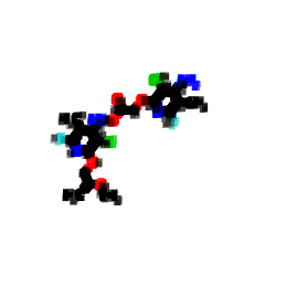 C=C(COc1nc(F)c(C)c(NOC(=O)COc2nc(F)c(C)c(N)c2Cl)c1Cl)OC